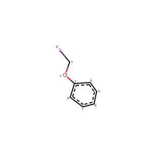 ICOc1cc[c]cc1